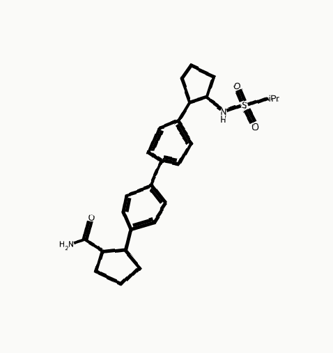 CC(C)S(=O)(=O)NC1CCCC1c1ccc(-c2ccc(C3CCCC3C(N)=O)cc2)cc1